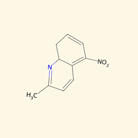 CC1=NC2CC=CC([N+](=O)[O-])=C2C=C1